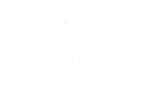 CC(C)OCCOCC=O